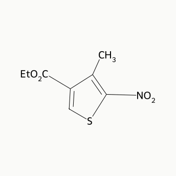 CCOC(=O)c1csc([N+](=O)[O-])c1C